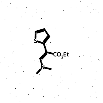 CCOC(=O)/C(=C\N(C)C)c1cccs1